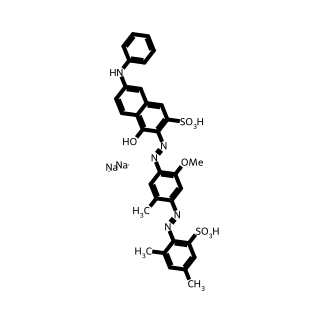 COc1cc(N=Nc2c(C)cc(C)cc2S(=O)(=O)O)c(C)cc1N=Nc1c(S(=O)(=O)O)cc2cc(Nc3ccccc3)ccc2c1O.[Na].[Na]